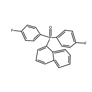 O=P(c1ccc(F)cc1)(c1ccc(F)cc1)c1cccc2ccccc12